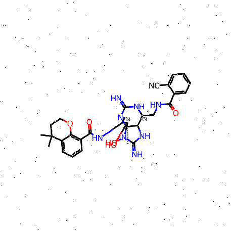 CC1(C)CCOc2c(C(=O)NC3CN4C(=N)N[C@@H](CNC(=O)c5ccccc5C#N)C5NC(=N)N(O)C54[C@@]3(C)O)cccc21